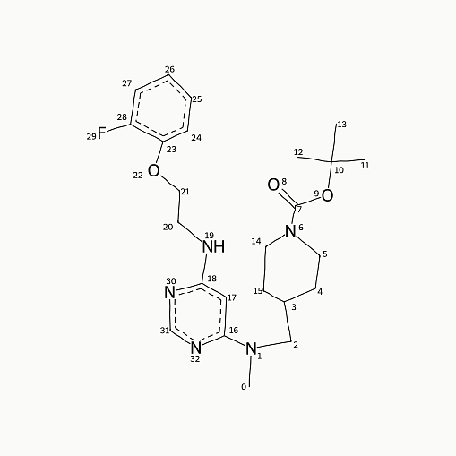 CN(CC1CCN(C(=O)OC(C)(C)C)CC1)c1cc(NCCOc2ccccc2F)ncn1